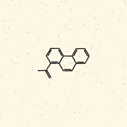 C=C(C)c1cccc2c1ccc1ccccc12